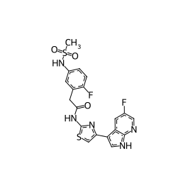 CS(=O)(=O)Nc1ccc(F)c(CC(=O)Nc2nc(-c3c[nH]c4ncc(F)cc34)cs2)c1